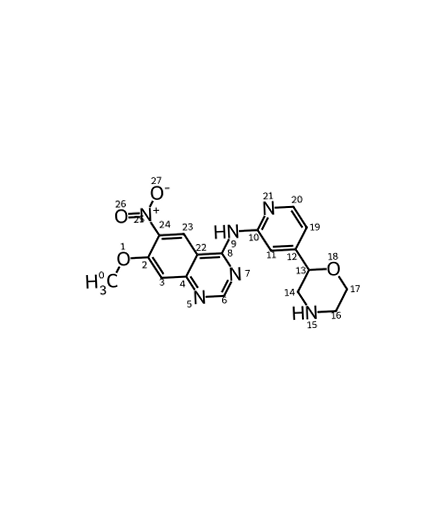 COc1cc2ncnc(Nc3cc(C4CNCCO4)ccn3)c2cc1[N+](=O)[O-]